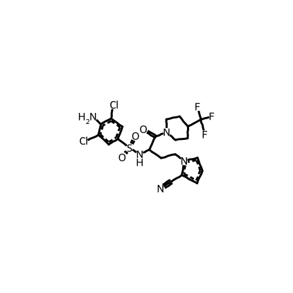 N#Cc1cccn1CCC(NS(=O)(=O)c1cc(Cl)c(N)c(Cl)c1)C(=O)N1CCC(C(F)(F)F)CC1